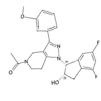 COc1cccc(-c2nn([C@@H]3c4cc(F)cc(F)c4C[C@@H]3O)c3c2CN(C(C)=O)CC3)c1